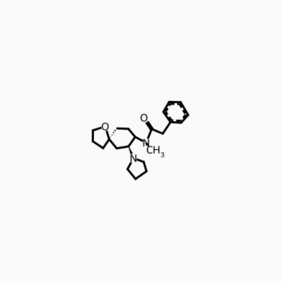 CN(C(=O)Cc1ccccc1)C1CC[C@@]2(CCCO2)C[C@@H]1N1CCCC1